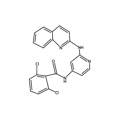 O=C(Nc1ccnc(Nc2ccc3ccccc3n2)c1)c1c(Cl)cccc1Cl